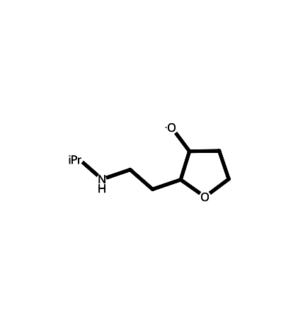 CC(C)NCCC1OCCC1[O]